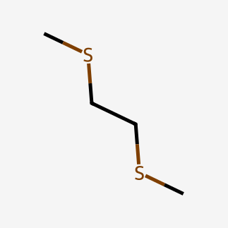 CSCCSC